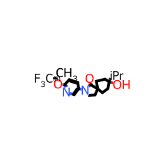 CC(C)C1(O)CCC2(CCN(c3ccc(O[C@H](C)C(F)(F)F)nc3)C2=O)CC1